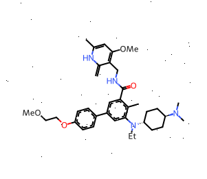 C=C1NC(C)=CC(OC)=C1CNC(=O)c1cc(-c2ccc(OCCOC)cc2)cc(N(CC)[C@H]2CC[C@H](N(C)C)CC2)c1C